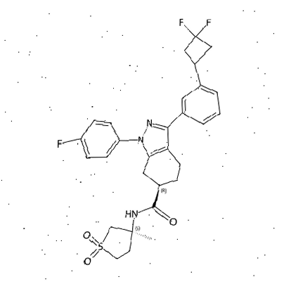 C[C@]1(NC(=O)[C@@H]2CCc3c(-c4cccc(C5CC(F)(F)C5)c4)nn(-c4ccc(F)cc4)c3C2)CCS(=O)(=O)C1